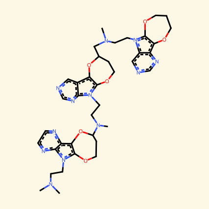 CN(C)CCn1c2c(c3nccnc31)OC(N(C)CCn1c3c(c4cncnc41)OC(CN(C)CCn1c4c(c5ncncc51)OCCCO4)CCO3)CCO2